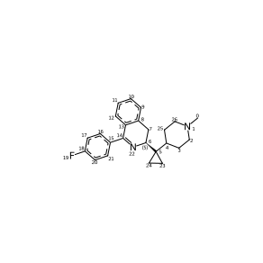 CN1CCC(C2([C@@H]3Cc4ccccc4C(c4ccc(F)cc4)=N3)CC2)CC1